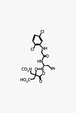 CC(C)C[C@H](NC(=O)CNc1cc(Cl)ccc1Cl)B1OC(=O)C(CC(=O)O)(CC(=O)O)O1